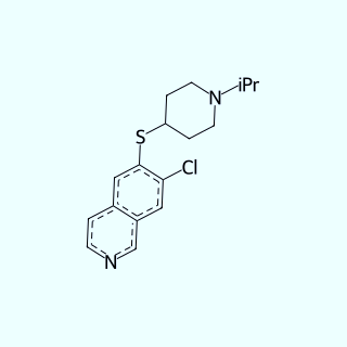 CC(C)N1CCC(Sc2cc3ccncc3cc2Cl)CC1